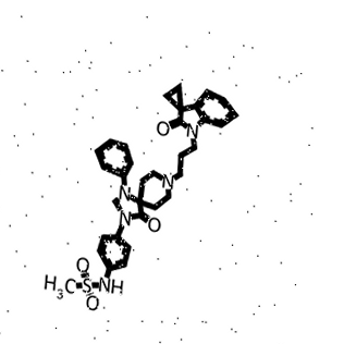 CS(=O)(=O)Nc1ccc(N2CN(c3ccccc3)C3(CCN(CCCN4C(=O)C5(CC5)c5ccccc54)CC3)C2=O)cc1